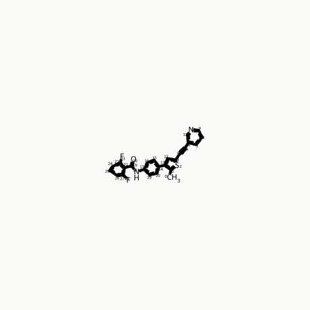 Cc1sc(C#Cc2cccnc2)cc1-c1ccc(NC(=O)c2c(F)cccc2F)cc1